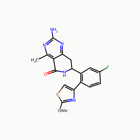 COc1nc(-c2ccc(F)cc2C2Cc3nc(N)nc(C)c3C(=O)N2)cs1